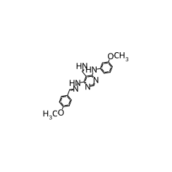 COc1ccc(/C=N/Nc2ncnc(Nc3cccc(OC)c3)c2C=N)cc1